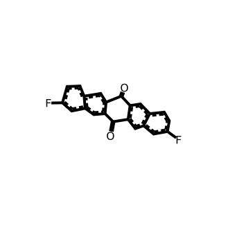 O=C1c2cc3ccc(F)cc3cc2C(=O)c2cc3cc(F)ccc3cc21